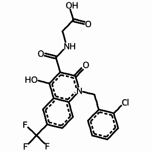 O=C(O)CNC(=O)c1c(O)c2cc(C(F)(F)F)ccc2n(Cc2ccccc2Cl)c1=O